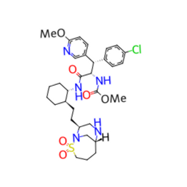 COC(=O)N[C@H](C(=O)N[C@H]1CCCC[C@@H]1CC[C@H]1CN[C@@H]2CCCS(=O)(=O)N1C2)[C@@H](c1ccc(Cl)cc1)c1ccc(OC)nc1